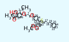 CCCc1c(OCCCOc2ccc(C(SCCCCc3ccccc3)C3(CC(=O)OC)CC3)cc2)ccc(C(C)=O)c1O